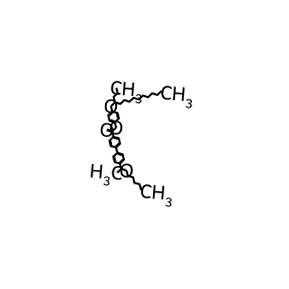 CCCCCCCCCCCC(CCC)Oc1ccc(OC(=O)c2ccc(-c3ccc(C(C)OCCCCCC)cc3)cc2)cc1